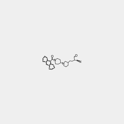 N#CC(C=O)CCC1CCCN(C2CCN(C(=O)c3c4ccccc4cc4ccccc34)CC2)C1